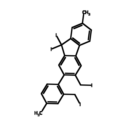 Cc1ccc(-c2cc3c(cc2CI)-c2ccc(C)cc2C3(I)I)c(CI)c1